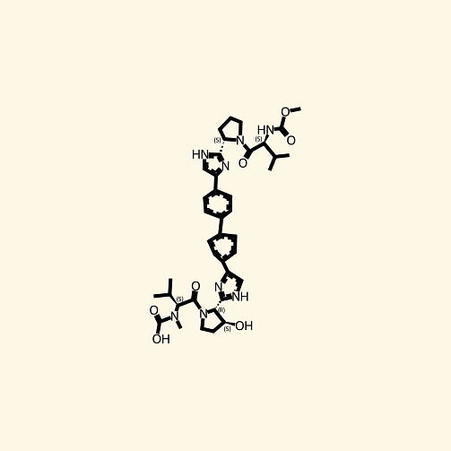 COC(=O)N[C@H](C(=O)N1CCC[C@H]1c1nc(-c2ccc(-c3ccc(-c4c[nH]c([C@@H]5[C@@H](O)CCN5C(=O)[C@H](C(C)C)N(C)C(=O)O)n4)cc3)cc2)c[nH]1)C(C)C